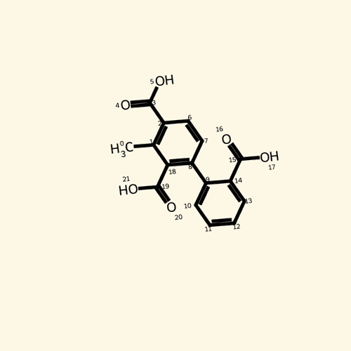 Cc1c(C(=O)O)ccc(-c2ccccc2C(=O)O)c1C(=O)O